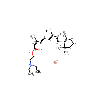 Br.CCN(CC)CCOC(=O)/C=C(/C)C=CC=C(C)C=CC1=C(C)CCCC1(C)C